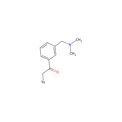 [2H]CC(=O)c1cccc(CN(C)C)c1